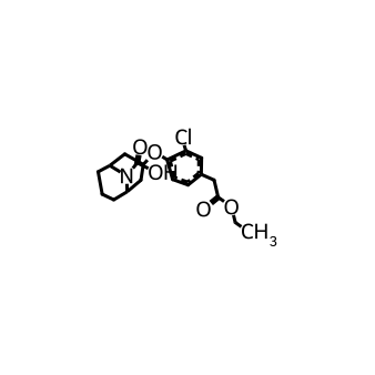 CCOC(=O)Cc1ccc(OC2CC3CCCC(C2)N3C(=O)O)c(Cl)c1